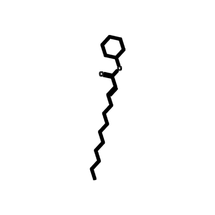 CCCCCCCCC/C=C/C(=O)OC1CCCCC1